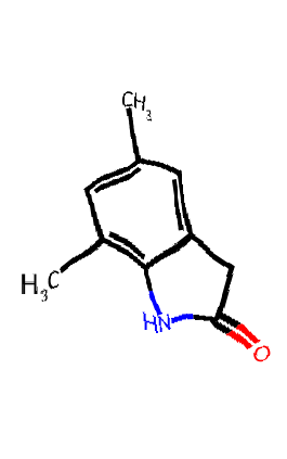 Cc1cc(C)c2c(c1)CC(=O)N2